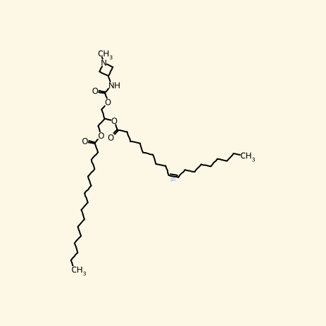 CCCCCCCC/C=C\CCCCCCCC(=O)OC(COC(=O)CCCCCCCCCCCCCCC)COC(=O)NC1CN(C)C1